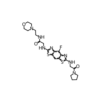 O=C(CNc1nc2c(F)c3nc(NCC(=O)N4CCCC4)sc3cc2s1)NCCN1CCOCC1